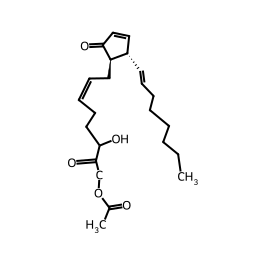 CCCCCC/C=C/[C@H]1C=CC(=O)[C@@H]1C/C=C\CCC(O)C(=O)COC(C)=O